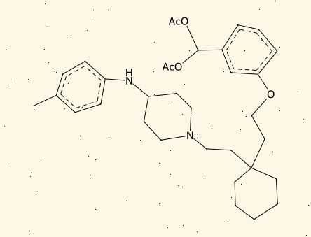 CC(=O)OC(OC(C)=O)c1cccc(OCCC2(CCN3CCC(Nc4ccc(C)cc4)CC3)CCCCC2)c1